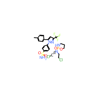 Cc1ccc(-c2cc(C(F)(F)F)nn2-c2ccc(S(N)(=O)=O)cc2)cc1.O=P1(N(CCCl)CCCl)NCCCO1